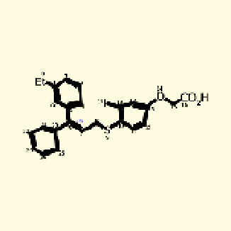 CCc1cccc(/C(=C\CSc2ccc(OCC(=O)O)cc2I)c2ccccc2)c1